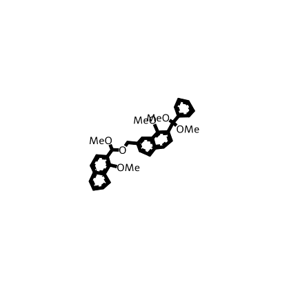 COc1c(C(OC)OCc2ccc3ccc(C(OC)(OC)c4ccccc4)c(OC)c3c2)ccc2ccccc12